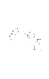 S=C(c1ccc(OCc2cccc3ccccc23)cc1)N1CCOCC1